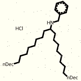 CCCCCCCCCCCCCCCCCCC(CCCCCCCCCCCCCCCCCC)NCc1ccccc1.Cl